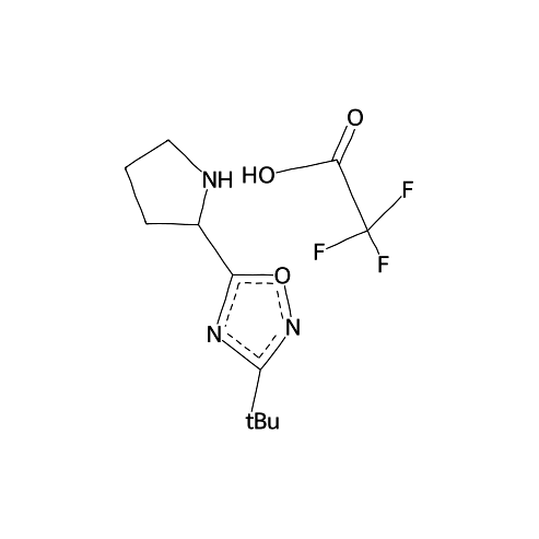 CC(C)(C)c1noc(C2CCCN2)n1.O=C(O)C(F)(F)F